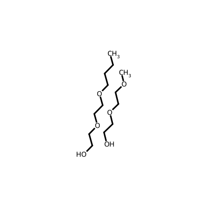 CCCCOCCOCCO.COCCOCCO